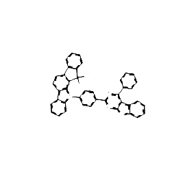 CC1(C)c2ccccc2-c2ccc3c4ccccc4n(-c4ccc(-c5nc(-c6ccccc6)c6c(n5)oc5ccccc56)cc4)c3c21